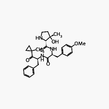 COc1ccc(C[C@H](NC(=O)[C@@H]2NCC[C@]2(C)O)C(=O)N[C@@H](Cc2ccccc2)C(=O)C2(C)CC2)cc1